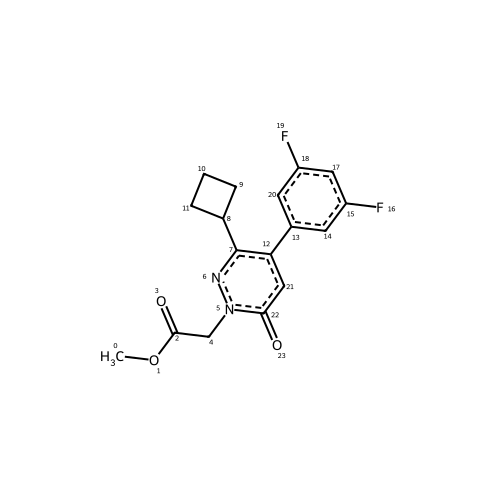 COC(=O)Cn1nc(C2CCC2)c(-c2cc(F)cc(F)c2)cc1=O